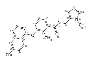 Cc1c(Oc2ccnc3cc(Cl)ccc23)cccc1C(=O)NCc1ccnn1C